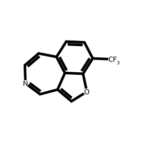 FC(F)(F)c1ccc2c3c(coc13)C=NC=C2